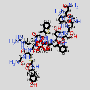 CCCC[C@@H](C(=O)N[C@@H](CCCNC(=N)N)C(=O)NC(CSCC(=O)N[C@@H](Cc1ccc(O)cc1)C(=O)NC)C(=O)NCC(N)=O)N(C)C(=O)[C@H](CCSC)N(C)C(=O)[C@H](Cc1csc2ccccc12)NC(=O)[C@H](CO)NC(=O)[C@H](Cc1c[nH]c2ccccc12)NC(=O)[C@@H]1C[C@@H](O)CN1C(=O)[C@H](CO)NC(=O)[C@H](Cc1cnc[nH]1)NC(=O)[C@@H]1CCCN1C(=O)[C@@H](N)CC(N)=O